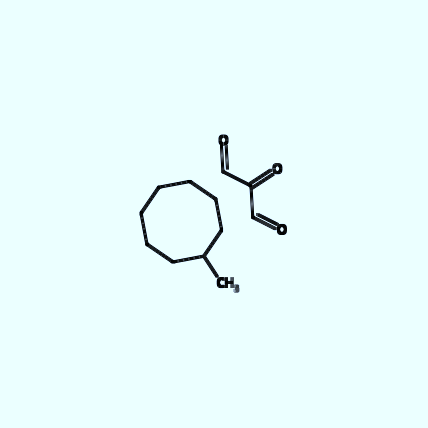 CC1CCCCCCC1.O=CC(=O)C=O